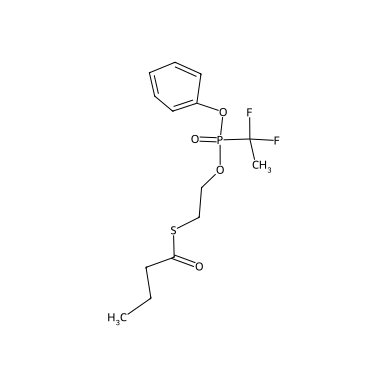 CCCC(=O)SCCOP(=O)(Oc1ccccc1)C(C)(F)F